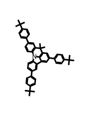 CC(C)(C)c1ccc(-c2ccc3c(c2)C(C)(C)c2cc(-c4ccc(C(C)(C)C)cc4)cc4c5cc(-c6ccc(C(C)(C)C)cc6)ccc5n-3c24)cc1